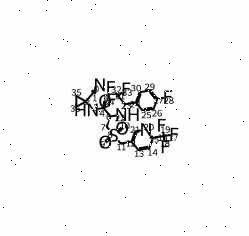 N#CC1(NC(=O)[C@H](CS(=O)(=O)Cc2ccc(C(F)(F)F)nc2)N[C@@H](c2ccc(F)cc2)C(F)(F)F)CC1